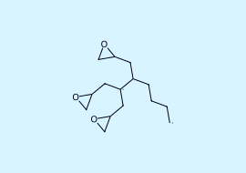 [CH2]CCCC(CC1CO1)[C](CC1CO1)CC1CO1